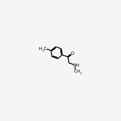 CNCC(=O)c1ccc(C)cc1